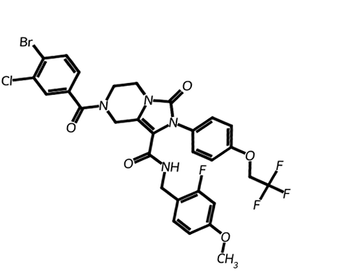 COc1ccc(CNC(=O)c2c3n(c(=O)n2-c2ccc(OCC(F)(F)F)cc2)CCN(C(=O)c2ccc(Br)c(Cl)c2)C3)c(F)c1